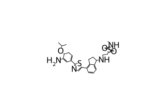 CNS(=O)(=O)CCNC1CCc2c(-c3cnc(C4=CCC(OC(C)C)C(N)=C4)s3)cccc21